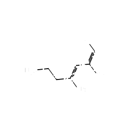 BCC/C(=C/C(=C\C)C(C)C)CCC